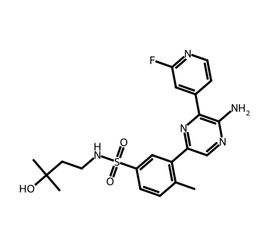 Cc1ccc(S(=O)(=O)NCCC(C)(C)O)cc1-c1cnc(N)c(-c2ccnc(F)c2)n1